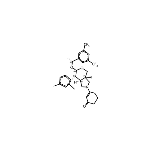 Cc1cc(F)ccc1[C@@H]1[C@@H](O[C@H](C)c2cc(C(F)(F)F)cc(C(F)(F)F)c2)OC[C@@H]2CN(C3=CC(=O)CCC3)C[C@H]21